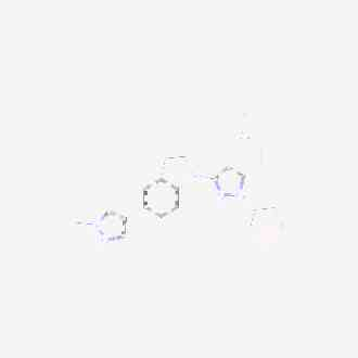 CC(=O)N1CCc2c(c(N3C[C@@H](C)c4cc(-c5cnn(C)c5)ccc43)nn2[C@@H]2CCOC2)C1